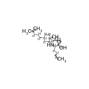 CSCCC(NC(=O)[C@]1(C)CC[C@@H](CCCC(C)C)CC1)C(=O)O